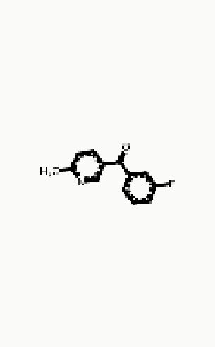 Cc1ccc(C(=O)c2cccc(F)c2)cn1